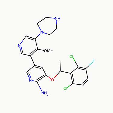 COc1c(-c2cnc(N)c(OC(C)c3c(Cl)ccc(F)c3Cl)c2)cncc1N1CCNCC1